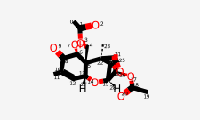 CC(=O)OC[C@]12[C@H](O)C(=O)C(C)=C[C@H]1O[C@@H]1[C@H](OC(C)=O)C[C@@]2(C)[C@]12CO2